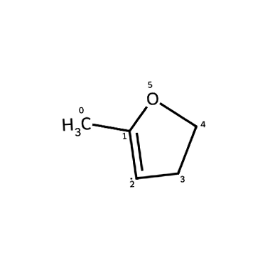 CC1=[C]CCO1